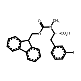 CN(C(=O)OCC1c2ccccc2-c2ccccc21)[C@@H](Cc1cccc(I)c1)C(=O)O